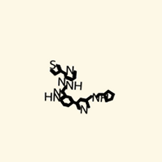 c1cc2[nH]c(-c3n[nH]c4ccc(-c5cncc(CNCC6CCCC6)c5)cc34)nc2c(-c2ccsc2)n1